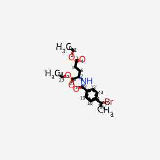 CCOC(=O)CCC(NC(=O)c1ccc(C(C)Br)cc1)C(=O)OCC